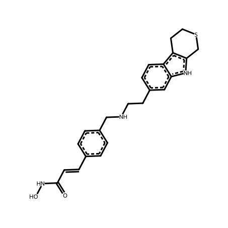 O=C(/C=C/c1ccc(CNCCc2ccc3c4c([nH]c3c2)CSCC4)cc1)NO